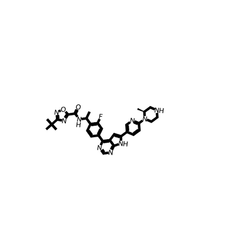 CC(NC(=O)c1nc(C(C)(C)C)no1)c1ccc(-c2ncnc3[nH]c(-c4ccc(N5CCNC[C@@H]5C)nc4)cc23)cc1F